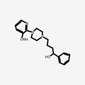 COc1cccnc1N1CCN(CCCC(O)c2ccccc2)CC1